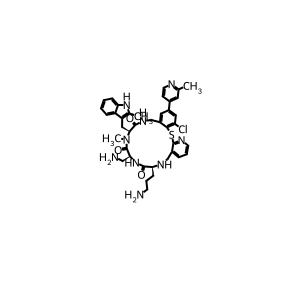 Cc1cc(-c2cc(Cl)c3c(c2)CNC(=O)[C@H](Cc2c(C)[nH]c4ccccc24)N(C)C(=O)[C@H](CN)NC(=O)[C@H](CCCN)NCc2cccnc2S3)ccn1